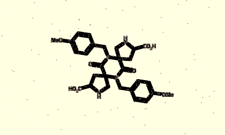 COc1ccc(CN2C(=O)C3(CNC(C(=O)O)C3)N(Cc3ccc(OC)cc3)C(=O)C23CNC(C(=O)O)C3)cc1